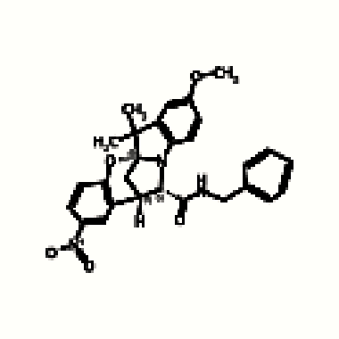 COc1ccc2c(c1)C(C)(C)[C@@]13C[C@@H](c4cc([N+](=O)[O-])ccc4O1)[C@@H](C(=O)NCc1ccccc1)N23